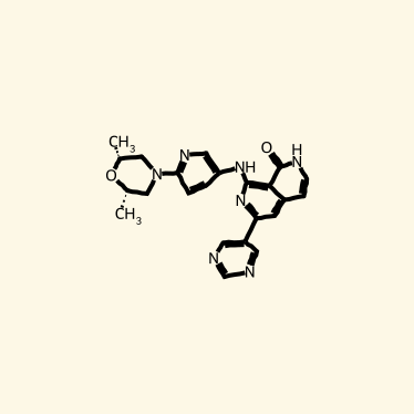 C[C@@H]1CN(c2ccc(Nc3nc(-c4cncnc4)cc4cc[nH]c(=O)c34)cn2)C[C@H](C)O1